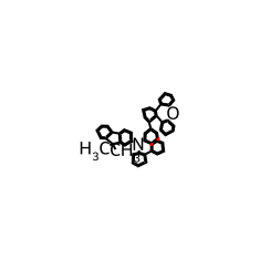 CC1(C)c2ccccc2-c2ccc(N(c3cccc(-c4cccc5c4-c4ccccc4Oc4ccccc4-5)c3)c3ccccc3-c3ccccc3)cc21